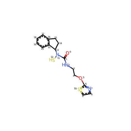 O=C(NCCOc1nccs1)N(S)C1CCc2ccccc21